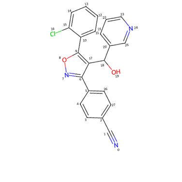 N#Cc1ccc(-c2noc(-c3ccccc3Cl)c2C(O)c2cccnc2)cc1